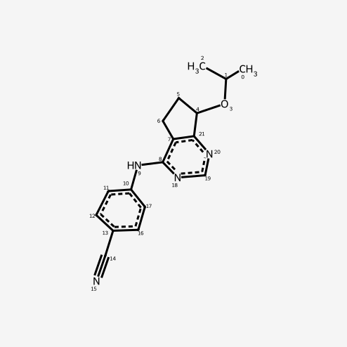 CC(C)OC1CCc2c(Nc3ccc(C#N)cc3)ncnc21